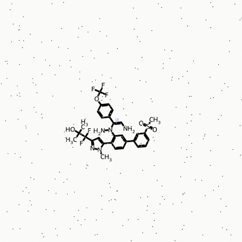 Cn1nc(C(F)(F)C(C)(C)O)cc1-c1ccc(-c2cccc(S(C)(=O)=O)c2)cc1N(N)/C(=C\N)c1ccc(OC(F)(F)F)cc1